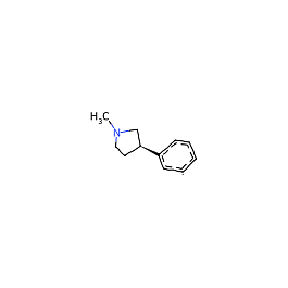 CN1CC[C@H](c2c[c]ccc2)C1